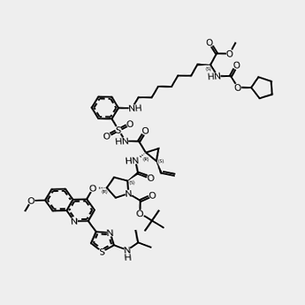 C=C[C@@H]1C[C@]1(NC(=O)[C@@H]1C[C@@H](Oc2cc(-c3csc(NC(C)C)n3)nc3cc(OC)ccc23)CN1C(=O)OC(C)(C)C)C(=O)NS(=O)(=O)c1ccccc1NCCCCCCC[C@H](NC(=O)OC1CCCC1)C(=O)OC